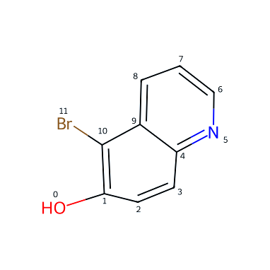 Oc1ccc2ncccc2c1Br